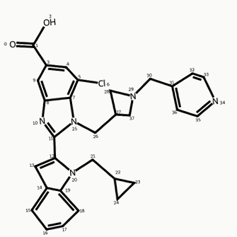 O=C(O)c1cc(Cl)c2c(c1)nc(-c1cc3ccccc3n1CC1CC1)n2CC1CN(Cc2ccncc2)C1